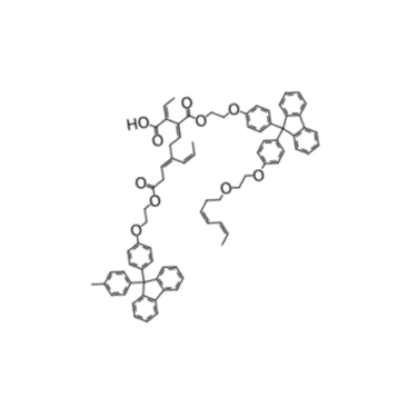 C/C=C\C=C/CCOCCOc1ccc(C2(c3ccc(OCCOC(=O)C(=C/CC(/C=C\C)=C/CC(=O)OCCOc4ccc(C5(c6ccc(C)cc6)c6ccccc6-c6ccccc65)cc4)/C(=C\C)C(=O)O)cc3)c3ccccc3-c3ccccc32)cc1